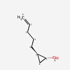 C=CCCC[C@@H]1C[C@H]1O